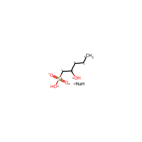 CCCC(O)CS(=O)(=O)O.[NaH]